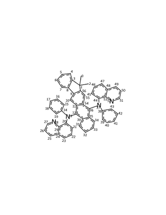 CC1(C)c2ccccc2-c2cc3c(N(c4ccccc4)c4cccc5cccnc45)c4ccccc4c(N(c4ccccc4)c4cccc5cccnc45)c3cc21